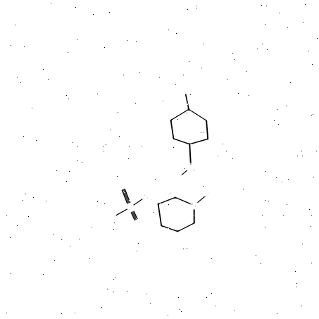 CC(=O)N1CCC[C@H](NS(=O)(=O)C(F)(F)F)[C@@H]1COC1CCC(C(C)C)CC1